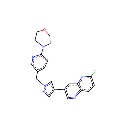 Clc1ccc2ncc(-c3cnn(Cc4ccc(N5CCOCC5)nc4)c3)cc2n1